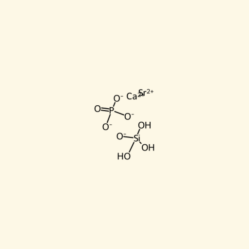 O=P([O-])([O-])[O-].[Ca+2].[O-][Si](O)(O)O.[Sr+2]